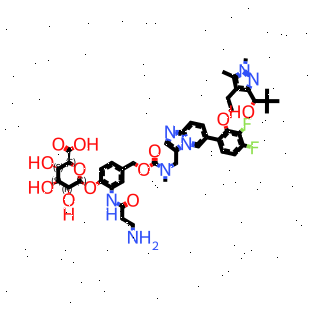 Cc1c(CCOc2c(-c3ccc4ncc(CN(C)C(=O)OCc5ccc(O[C@@H]6O[C@H](C(=O)O)[C@@H](O)[C@H](O)[C@H]6O)c(NC(=O)CCN)c5)n4c3)ccc(F)c2F)c(C(O)C(C)(C)C)nn1C